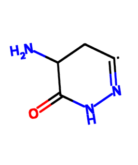 NC1C[C]=NNC1=O